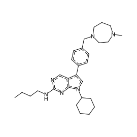 CCCCNc1ncc2c(-c3ccc(CN4CCCN(C)CC4)cc3)cn(C3CCCCC3)c2n1